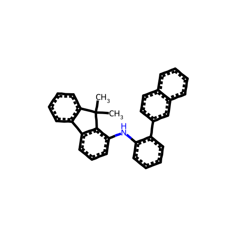 CC1(C)c2ccccc2-c2cccc(Nc3ccccc3-c3ccc4ccccc4c3)c21